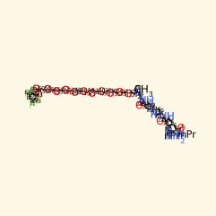 CCCN(CCC)C(=O)C1=Cc2ccc(C(=O)Nc3ccc(N4CCC(C(=O)NCCN(C)CCOCCOCCOCCOCCOCCOCCOCCOCCOCCOCCC(=O)Oc5c(F)c(F)cc(F)c5F)CC4)nc3)cc2N=C(N)C1